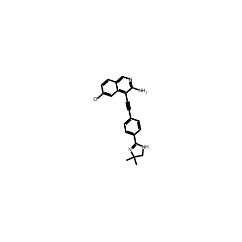 CC1(C)CNC(c2ccc(C#Cc3c(N)ncc4ccc(Cl)cc34)cc2)=N1